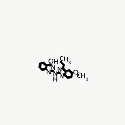 CCCc1nc(Nc2nc(O)c3ccccc3n2)nc2ccc(OC)cc12